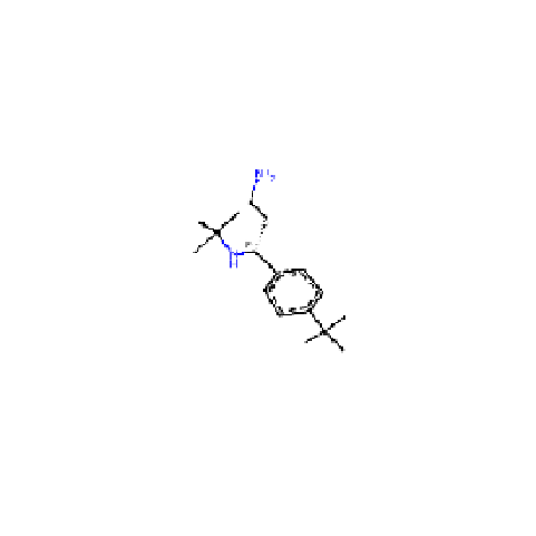 CC(C)(C)N[C@H](CCN)c1ccc(C(C)(C)C)cc1